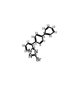 Brc1nc2c(-c3ccc(-c4ccccc4)cc3)cccn2n1